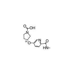 CNC(=O)c1ccc(O[C@@H]2CCN(C(=O)O)C2)cn1